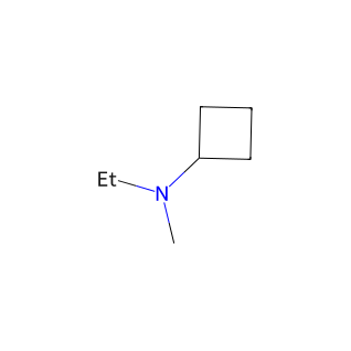 CCN(C)C1CCC1